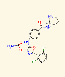 NC(=O)Oc1nc(-c2c(F)cccc2Cl)oc1Nc1ccc(C(=O)N[C@@H]2CCCNC2)cc1